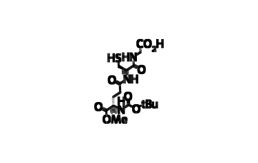 COC(=O)[C@H](CCC(=O)N[C@@H](CS)C(=O)NCC(=O)O)NC(=O)OC(C)(C)C